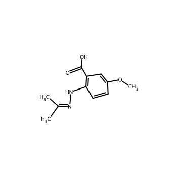 COc1ccc(NN=C(C)C)c(C(=O)O)c1